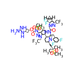 CC(C)(C#Cc1ccc(-c2ccc(Cl)c3c(N(C(=O)O[C@H]4C[C@H](NC(=N)N)C4)S(C)(=O)=O)nn(CC(F)(F)F)c23)c([C@H](Cc2cc(F)cc(F)c2)NC(=O)Cn2nc(C(F)(F)F)c3c2C(F)(F)[C@@H]2C[C@H]32)n1)S(C)(=O)=O